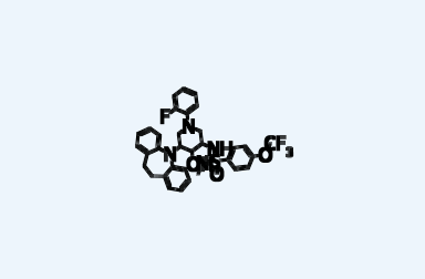 CN=S(=O)(NC1CN(c2ccccc2F)CC(N2c3ccccc3CCc3ccccc32)C1O)c1ccc(OC(F)(F)F)cc1